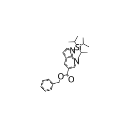 CC(C)[Si](C(C)C)(C(C)C)n1ccc2cc(C(=O)OCc3ccccc3)cnc21